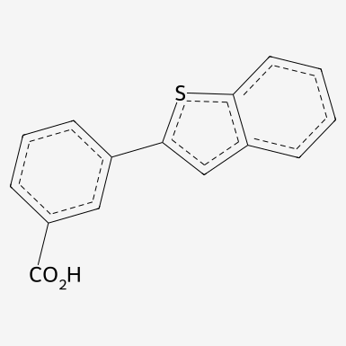 O=C(O)c1cccc(-c2cc3ccccc3s2)c1